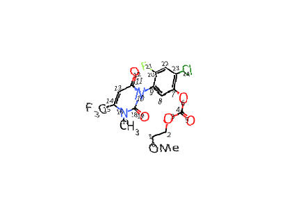 COCCOC(=O)Oc1cc(-n2c(=O)cc(C(F)(F)F)n(C)c2=O)c(F)cc1Cl